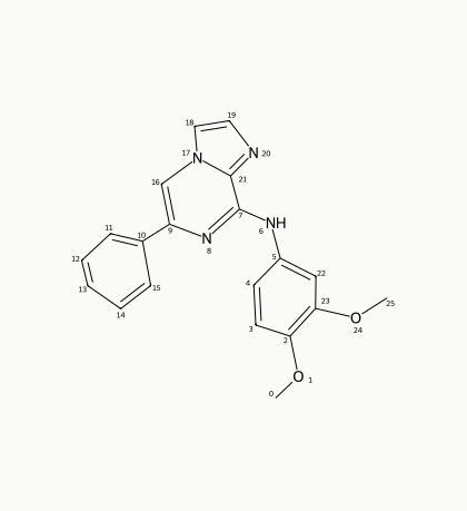 COc1ccc(Nc2nc(-c3ccccc3)cn3ccnc23)cc1OC